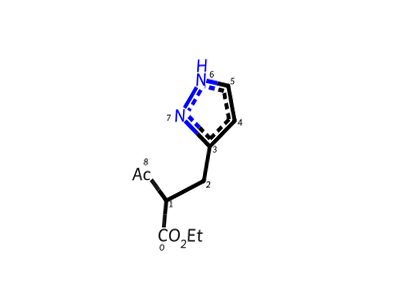 CCOC(=O)C(Cc1cc[nH]n1)C(C)=O